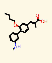 CCCCOc1cc(/C=C(\C)C(=O)O)ccc1-c1cccc(NC)c1